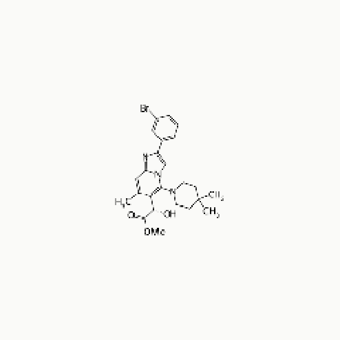 COC(=O)[C@@H](O)c1c(C)cc2nc(-c3cccc(Br)c3)cn2c1N1CCC(C)(C)CC1